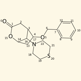 O=C1CC2C(OCc3ccccc3)CC(O1)C2N1CCSCC1